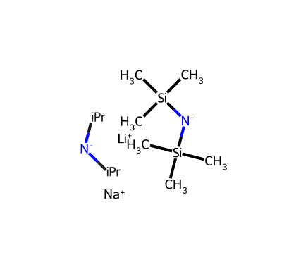 CC(C)[N-]C(C)C.C[Si](C)(C)[N-][Si](C)(C)C.[Li+].[Na+]